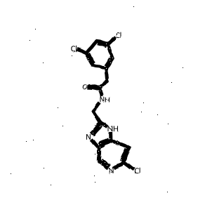 O=C(Cc1cc(Cl)cc(Cl)c1)NCc1nc2cnc(Cl)cc2[nH]1